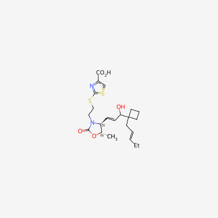 CCC=CCC1(C(O)C=C[C@H]2[C@H](C)OC(=O)N2CCSc2nc(C(=O)O)cs2)CCC1